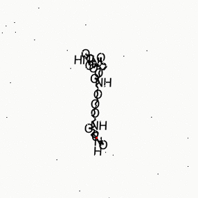 O=CNC12CCC(C(=O)NCCCOCCOCCOCCCNC(=O)COc3cccc4c3C(=O)N(C3CCC(=O)NC3=O)C4=O)(CC1)CC2